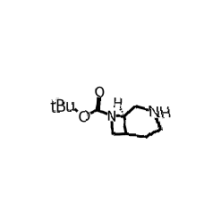 CC(C)(C)OC(=O)N1CC2CCNC[C@@H]21